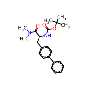 CN(C)C(=O)[C@H](Cc1ccc(-c2ccccc2)cc1)NC(=O)OC(C)(C)C